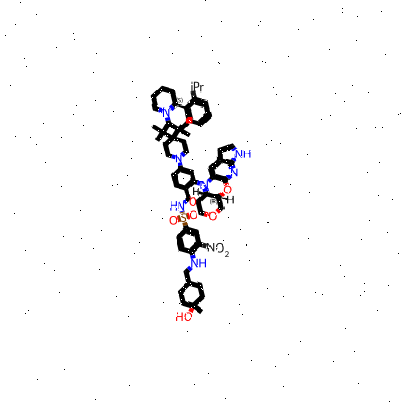 CC(C)c1ccccc1[C@@H]1CCCCN1C1C(C)(C)C2(CCN(c3ccc(C(=O)NS(=O)(=O)c4ccc(NCC5CCC(C)(O)CC5)c([N+](=O)[O-])c4)c(N4c5cc6cc[nH]c6nc5O[C@H]5COCC[C@@H]54)c3)CC2)C1(C)C